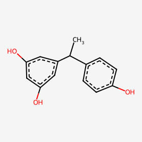 CC(c1ccc(O)cc1)c1cc(O)cc(O)c1